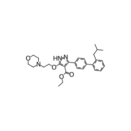 CCOC(=O)c1c(-c2ccc(-c3ccccc3CC(C)C)cc2)n[nH]c1OCCN1CCOCC1